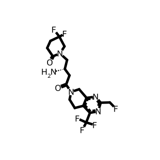 N[C@@H](CC(=O)N1CCc2c(nc(CF)nc2C(F)(F)F)C1)CN1CC(F)(F)CCC1=O